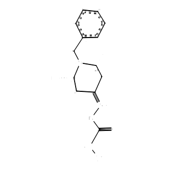 C[C@@H]1CC(=NNC(=O)OC(C)(C)C)C[C@H](C)N1Cc1ccccc1